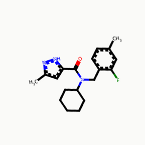 Cc1ccc(CN(C(=O)c2cc(C)n[nH]2)C2CCCCC2)c(F)c1